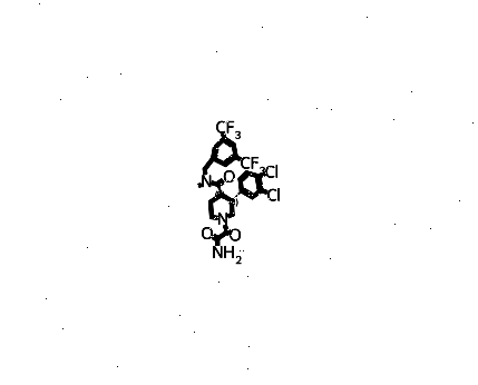 CN(Cc1cc(C(F)(F)F)cc(C(F)(F)F)c1)C(=O)[C@@H]1CCN(C(=O)C(N)=O)C[C@H]1c1ccc(Cl)c(Cl)c1